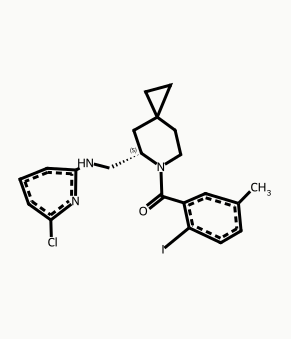 Cc1ccc(I)c(C(=O)N2CCC3(CC3)C[C@H]2CNc2cccc(Cl)n2)c1